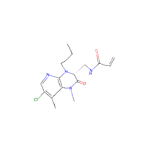 C=CC(=O)NC[C@@H]1C(=O)N(C)c2c(ncc(Cl)c2C)N1CCC